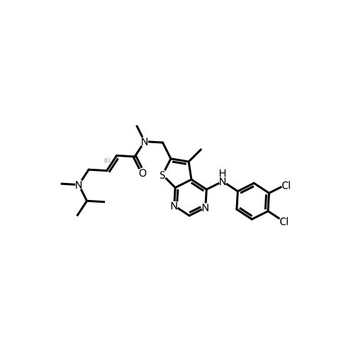 Cc1c(CN(C)C(=O)/C=C/CN(C)C(C)C)sc2ncnc(Nc3ccc(Cl)c(Cl)c3)c12